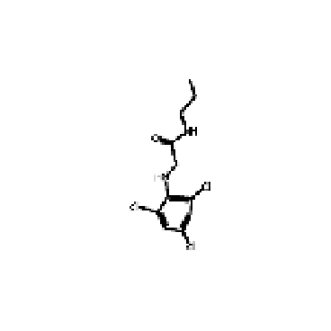 CCCNC(=O)CNc1c(Cl)cc(Cl)cc1Cl